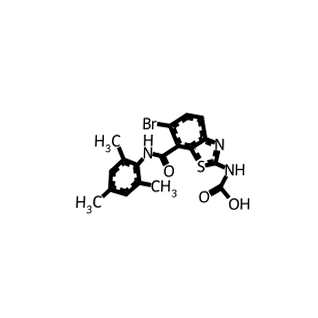 Cc1cc(C)c(NC(=O)c2c(Br)ccc3nc(NC(=O)O)sc23)c(C)c1